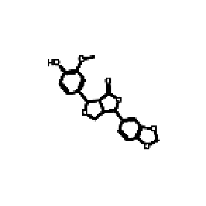 COc1cc(C2OCC3C(c4ccc5c(c4)OCO5)OC(=O)C23)ccc1O